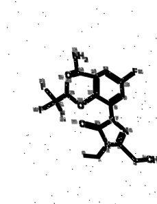 CCn1c(CO)nn(-c2cc(F)cc(C(N)=O)c2OC(C)C(F)(F)F)c1=O